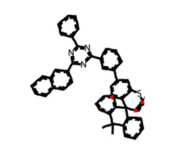 CC1(C)c2ccccc2C2(c3ccccc3Sc3cc(-c4cccc(-c5nc(-c6ccccc6)nc(-c6ccc7ccccc7c6)n5)c4)ccc32)c2ccccc21